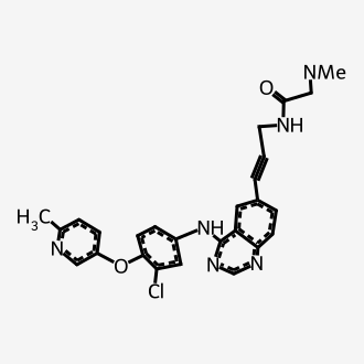 CNCC(=O)NCC#Cc1ccc2ncnc(Nc3ccc(Oc4ccc(C)nc4)c(Cl)c3)c2c1